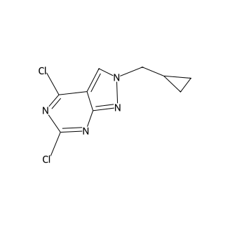 Clc1nc(Cl)c2cn(CC3CC3)nc2n1